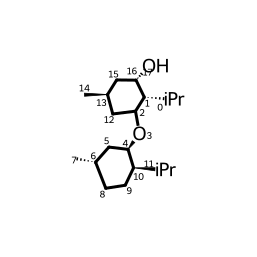 CC(C)[C@@H]1C(O[C@@H]2C[C@@H](C)CC[C@@H]2C(C)C)C[C@@H](C)C[C@@H]1O